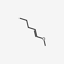 [CH2]CCC=COC